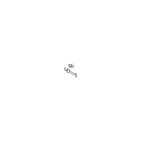 O=S.[Li].[Sb]